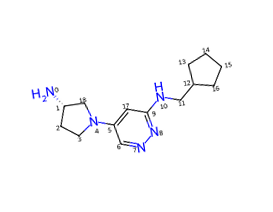 N[C@H]1CCN(c2cnnc(NCC3CCCC3)c2)C1